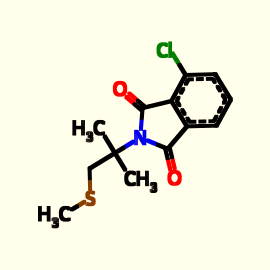 CSCC(C)(C)N1C(=O)c2cccc(Cl)c2C1=O